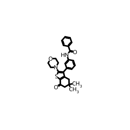 CC1(C)CC(=O)c2sc(N3CCOCC3)c(-c3cccc(NC(=O)c4ccccc4)c3)c2C1